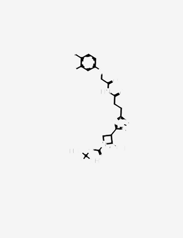 C=C(CCc1nnc(C2CN(C(=O)OC(C)(C)C)[C@@H]2C)o1)NC(=O)COc1ccc(Cl)c(F)c1